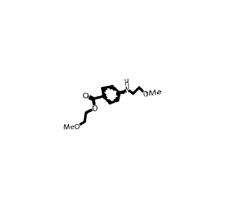 COCCNc1ccc(C(=O)OCCOC)cc1